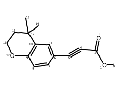 COC(=O)C#Cc1ccc2c(c1)C(C)(C)CCO2